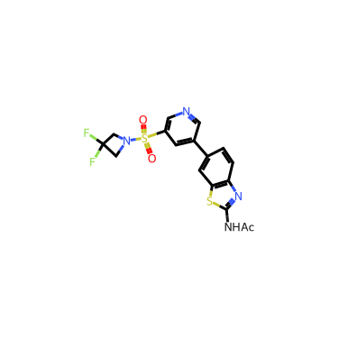 CC(=O)Nc1nc2ccc(-c3cncc(S(=O)(=O)N4CC(F)(F)C4)c3)cc2s1